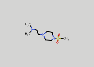 CN(C)CCN1CCN(S(C)(=O)=O)CC1